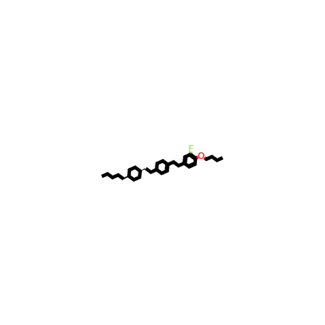 CCCCC[C@H]1CC[C@H](CCC2CC=C(CCc3ccc(OCCCC)c(F)c3)CC2)CC1